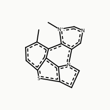 Cc1ccc2sc3ccn4c5cnc[n+](C)c5c1c2c34